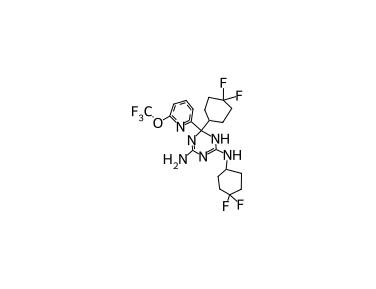 NC1=NC(c2cccc(OC(F)(F)F)n2)(C2CCC(F)(F)CC2)NC(NC2CCC(F)(F)CC2)=N1